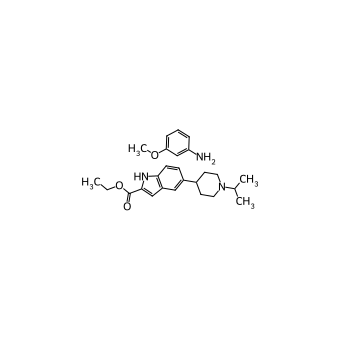 CCOC(=O)c1cc2cc(C3CCN(C(C)C)CC3)ccc2[nH]1.COc1cccc(N)c1